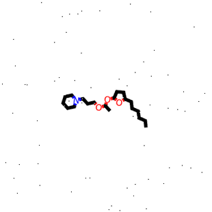 CCCCCCC1CCC(OC(C)OCCCN2CCCCC2)O1